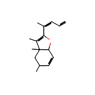 C=C/C=C(/C)C1=C(C)C2(C)CC(C)C=CC2O1